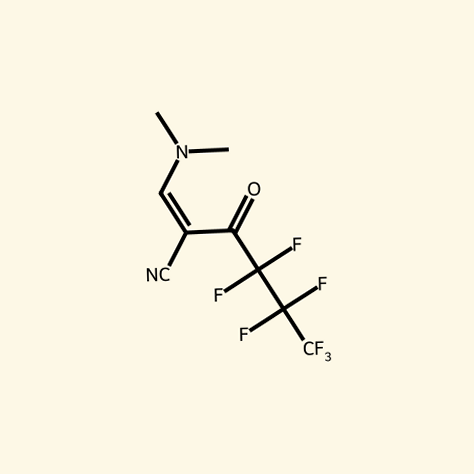 CN(C)C=C(C#N)C(=O)C(F)(F)C(F)(F)C(F)(F)F